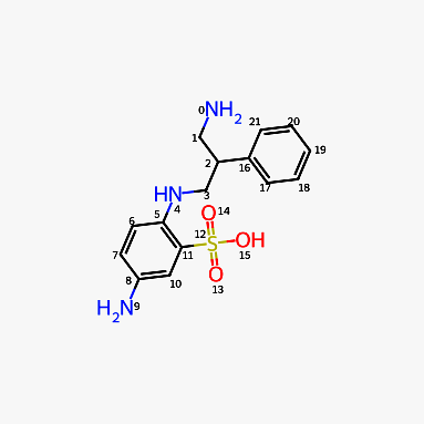 NCC(CNc1ccc(N)cc1S(=O)(=O)O)c1ccccc1